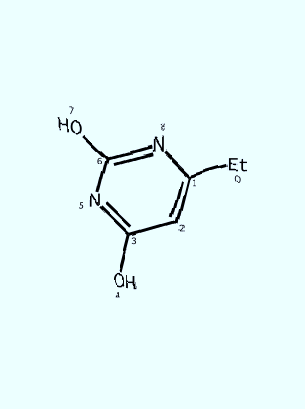 CCc1cc(O)nc(O)n1